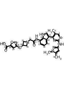 Cc1cnc(Nc2cc(C)n(C)n2)nc1-c1c[nH]c2c(NC(=O)CN3CC(Oc4cc(C(=O)O)on4)C3)cccc12